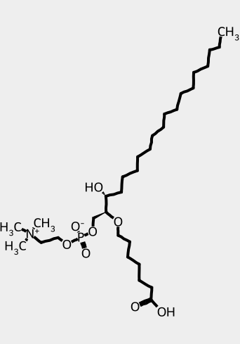 CCCCCCCCCCCCCCCC[C@@H](O)[C@H](COP(=O)([O-])OCC[N+](C)(C)C)OCCCCCCC(=O)O